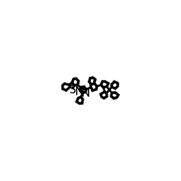 c1ccc(-c2nc(-c3ccc(-c4cccc5c4-c4ccccc4C5(c4ccccc4)c4ccccc4)c4ccccc34)cc(-c3cccc4c3sc3ccccc34)n2)cc1